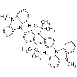 CN1c2ccccc2N(c2ccc3c([Si](C)(C)C)c4cc(N5c6ccccc6N(C)c6ccccc65)ccc4c([Si](C)(C)C)c3c2)c2ccccc21